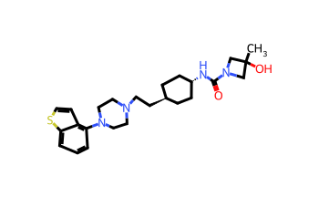 CC1(O)CN(C(=O)N[C@H]2CC[C@H](CCN3CCN(c4cccc5sccc45)CC3)CC2)C1